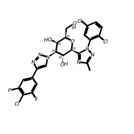 Cc1nc([C@@H]2O[C@H](CO)[C@H](O)[C@H](n3cc(-c4cc(F)c(Cl)c(F)c4)nn3)[C@H]2O)n(-c2cc(Cl)ccc2Cl)n1